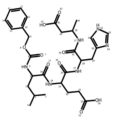 CC(C)CC(NC(=O)OCc1ccccc1)C(=O)NC(CCC(=O)O)C(=O)NC(Cc1c[nH]cn1)C(=O)NC(C)CC(=O)O